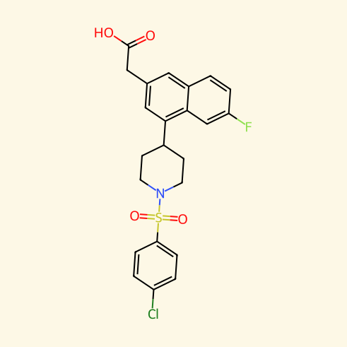 O=C(O)Cc1cc(C2CCN(S(=O)(=O)c3ccc(Cl)cc3)CC2)c2cc(F)ccc2c1